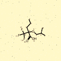 CCCC(OCC(C)C)(C(=O)O)C(F)(F)F